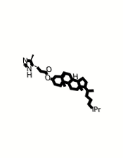 CC(C)CCCC(C)C1CCC2[C@H]3CC=C4CC(OC(=O)CC[C@@H]5NC=N[C@H]5C)CCC4(C)C3CCC12C